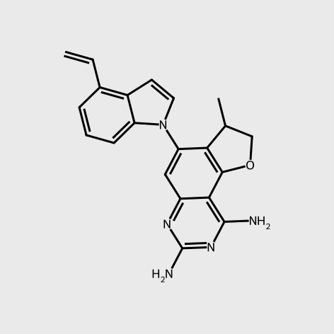 C=Cc1cccc2c1ccn2-c1cc2nc(N)nc(N)c2c2c1C(C)CO2